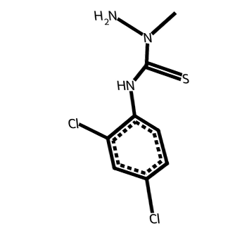 CN(N)C(=S)Nc1ccc(Cl)cc1Cl